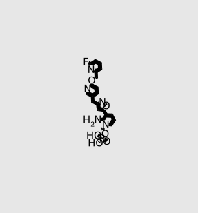 NC1C(c2cc(Cc3ccc(OCc4cccc(F)n4)nc3)no2)=CC=CN1COP(=O)(O)O